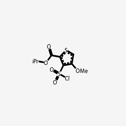 COc1csc(C(=O)OC(C)C)c1S(=O)(=O)Cl